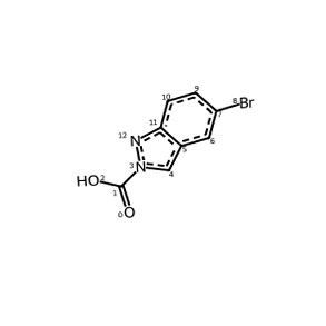 O=C(O)n1cc2cc(Br)ccc2n1